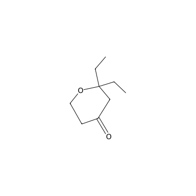 CCC1(CC)CC(=O)CCO1